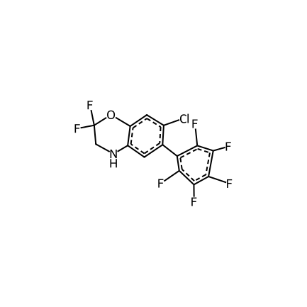 Fc1c(F)c(F)c(-c2cc3c(cc2Cl)OC(F)(F)CN3)c(F)c1F